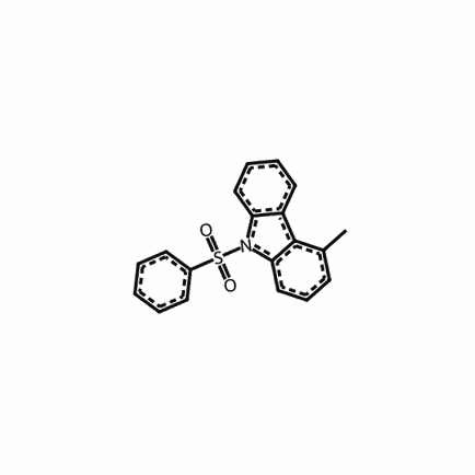 Cc1cccc2c1c1ccccc1n2S(=O)(=O)c1ccccc1